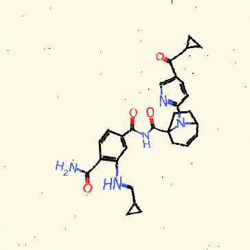 NC(=O)c1ccc(C(=O)NC(=O)C23CC=CC(CC2)N3c2ccc(C(=O)C3CC3)cn2)cc1NCC1CC1